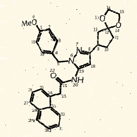 COc1ccc(Cn2nc(C3CCC4(C3)OCCO4)cc2NC(=O)Cc2cccc3ccccc23)cc1